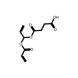 C=CC(=O)OC(C=C)OC(=O)CCC(=O)O